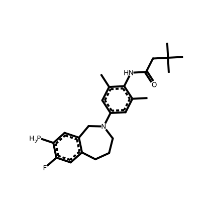 Cc1cc(N2CCCc3cc(F)c(P)cc3C2)cc(C)c1NC(=O)CC(C)(C)C